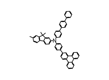 Cc1ccc2c(c1)C(C)(C)c1cc(N(c3ccc(-c4ccc(-c5ccccc5)cc4)cc3)c3ccc(-c4ccc5c6ccccc6c6ccccc6c5c4)cc3)ccc1-2